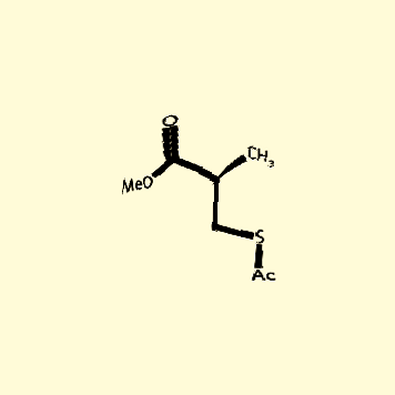 COC(=O)[C@@H](C)CSC(C)=O